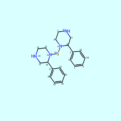 c1ccc(C2CNCCN2SN2CCNCC2c2ccccc2)cc1